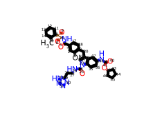 COc1cc(C(=O)NS(=O)(=O)c2ccccc2C)ccc1Cc1cn(C(=O)NCCc2nnn[nH]2)c2ccc(NC(=O)OC3CCCC3)cc12